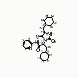 O=C(Nc1ccccn1)C(CC1CCCCC1)N1C(=O)NC(CC2CCCCC2)C1=O